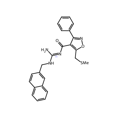 CSCc1onc(-c2ccccc2)c1C(=O)/N=C(\N)NCc1ccc2ccccc2c1